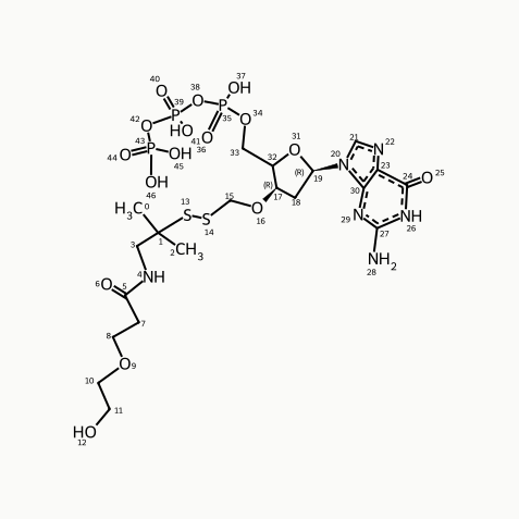 CC(C)(CNC(=O)CCOCCO)SSCO[C@@H]1C[C@H](n2cnc3c(=O)[nH]c(N)nc32)OC1COP(=O)(O)OP(=O)(O)OP(=O)(O)O